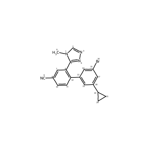 Cn1cnnc1-c1cc(C#N)ccc1-c1cc(Br)cc(C2CC2)c1